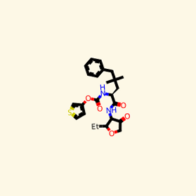 CCC1OCC(=O)C1NC(=O)[C@H](CC(C)(C)Cc1ccccc1)NC(=O)Oc1ccsc1